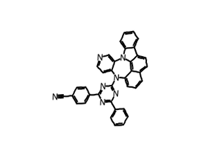 N#Cc1ccc(-c2nc(-c3ccccc3)nc(-n3c4cccc5ccc6c7ccccc7n(c7cnccc73)c6c54)n2)cc1